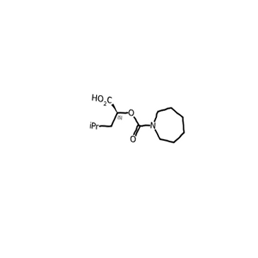 CC(C)C[C@H](OC(=O)N1CCCCCC1)C(=O)O